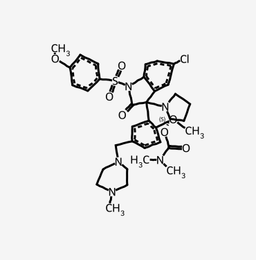 COc1ccc(S(=O)(=O)N2C(=O)C(c3cc(CN4CCN(C)CC4)ccc3OC)(N3CCC[C@@H]3OC(=O)N(C)C)c3cc(Cl)ccc32)cc1